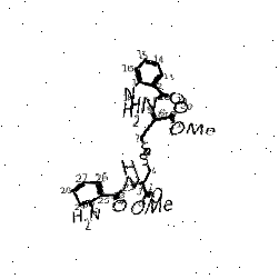 COC(=O)C(CSSCC(NC(=O)c1ccccc1N)C(=O)OC)NC(=O)c1ccccc1N